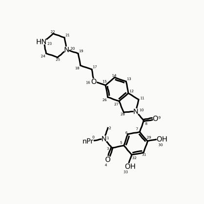 CCCN(C)C(=O)c1cc(C(=O)N2Cc3ccc(OCCCN4CCNCC4)cc3C2)c(O)cc1O